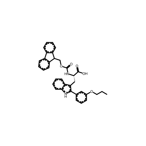 CCCOc1cccc(-c2[nH]c3ccccc3c2C[C@H](NC(=O)OCC2c3ccccc3-c3ccccc32)C(=O)O)c1